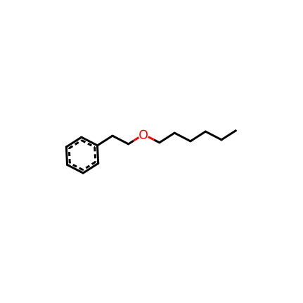 CCCCCCOCCc1ccccc1